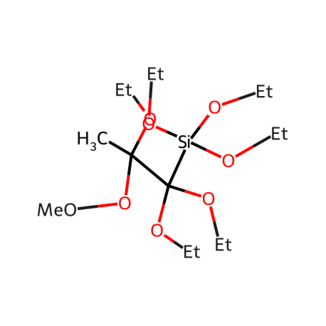 CCOC(C)(OOC)C(OCC)(OCC)[Si](OCC)(OCC)OCC